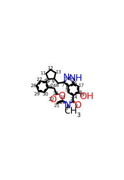 CN(C(=O)c1cc2c(CC3CCCC3)n[nH]c2cc1O)C1=COC(Cc2ccccc2)O1